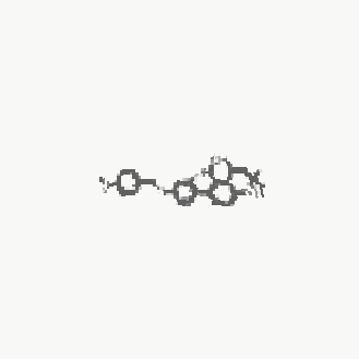 COc1ccc(COc2ccc(-c3ccc4c(c3CO)C(C)=CC(C)(C)N4)c(O)c2)cc1